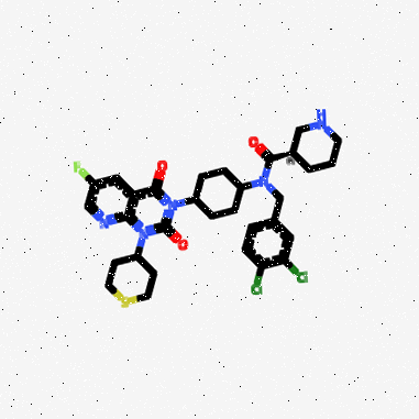 O=C([C@@H]1CCCNC1)N(Cc1ccc(Cl)c(Cl)c1)C1CCC(n2c(=O)c3cc(F)cnc3n(C3CCSCC3)c2=O)CC1